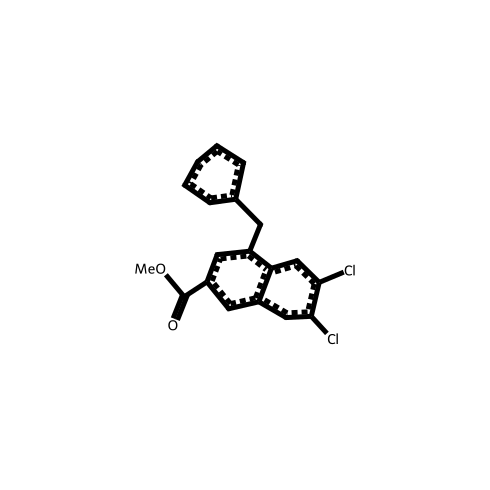 COC(=O)c1cc(Cc2ccccc2)c2cc(Cl)c(Cl)cc2c1